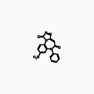 Nc1ccc2c(c1)n(-c1ccccc1)c(=O)cc1nnc(=O)n2-1